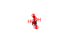 COc1ccc(OC[C@H](O)/C=C/[C@@H]2[C@H]3CC[C@H](CCCC(=O)OC(C)C)CO[C@H]3C[C@H]2O)cc1